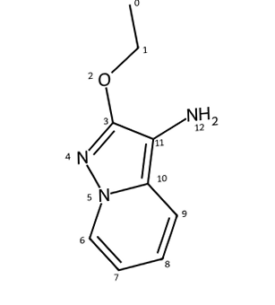 CCOc1nn2ccccc2c1N